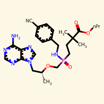 CCCOC(=O)C(C)(C)CCP(=O)(CO[C@H](C)Cn1cnc2c(N)ncnc21)NCc1ccc(C#N)cc1